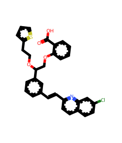 O=C(O)c1ccccc1OCC(OCCc1cccs1)c1cccc(/C=C/c2ccc3ccc(Cl)cc3n2)c1